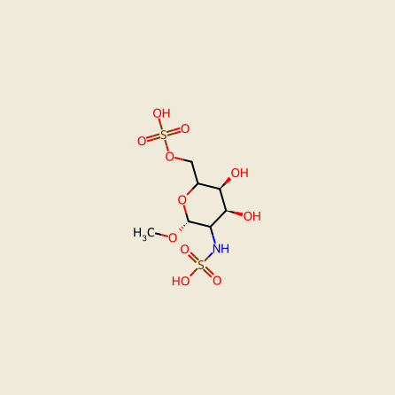 CO[C@@H]1OC(COS(=O)(=O)O)[C@@H](O)[C@@H](O)C1NS(=O)(=O)O